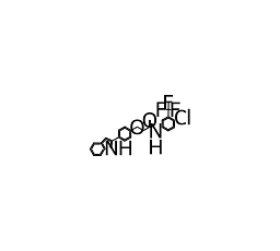 O=C(COc1ccc(-c2cc3ccccc3[nH]2)cc1)Nc1ccc(Cl)c(C(F)(F)F)c1